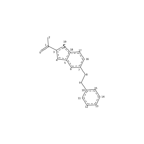 C=C(C)c1cc2cc(CCc3ccccc3)ccc2s1